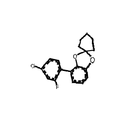 Fc1cc(Cl)ccc1-c1cccc2c1OC1(CCCCC1)O2